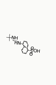 CC(C)(C)NCCNc1cccc2c(S(=O)(=O)O)cccc12